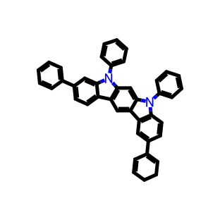 C1=CC(c2ccc3c(c2)c2cc4c5ccc(-c6ccccc6)cc5n(-c5ccccc5)c4cc2n3-c2ccccc2)=CCC1